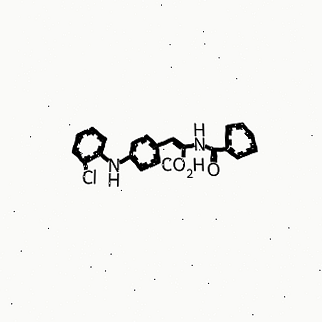 O=C(O)/C(=C\c1ccc(Nc2ccccc2Cl)cc1)NC(=O)c1ccccc1